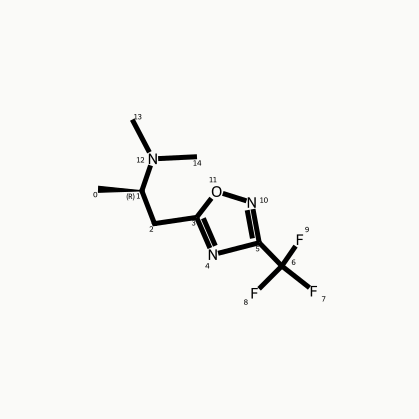 C[C@H](Cc1nc(C(F)(F)F)no1)N(C)C